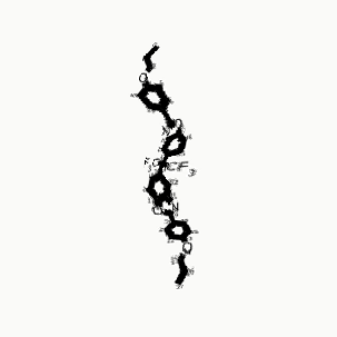 C=CCOc1ccc(-c2nc3cc(C(c4ccc5oc(-c6ccc(OCC=C)cc6)nc5c4)(C(F)(F)F)C(F)(F)F)ccc3o2)cc1